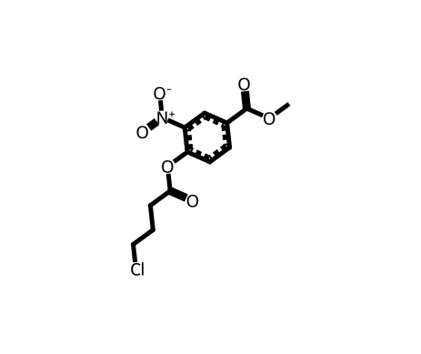 COC(=O)c1ccc(OC(=O)CCCCl)c([N+](=O)[O-])c1